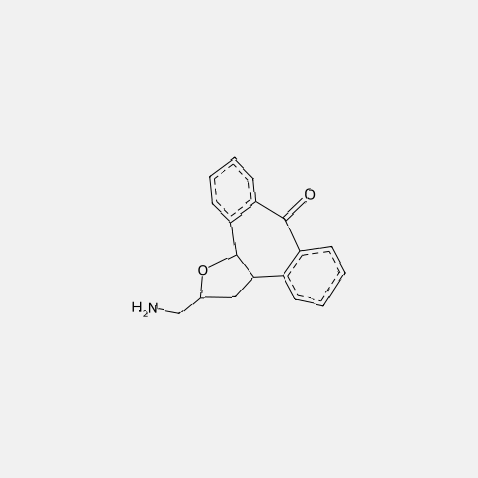 NCC1CC2c3ccccc3C(=O)c3ccccc3C2O1